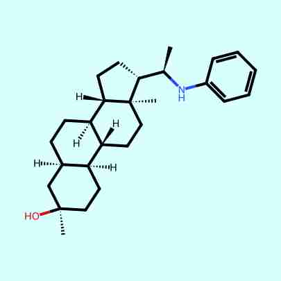 C[C@@H](Nc1ccccc1)[C@H]1CC[C@H]2[C@@H]3CC[C@@H]4C[C@](C)(O)CC[C@@H]4[C@H]3CC[C@]12C